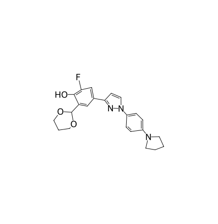 Oc1c(F)cc(-c2ccn(-c3ccc(N4CCCC4)cc3)n2)cc1C1OCCCO1